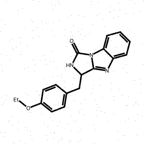 CCOc1ccc(CC2NC(=O)n3c2nc2ccccc23)cc1